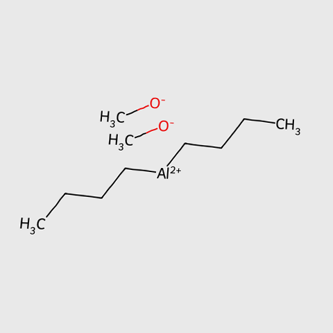 CCC[CH2][Al+2][CH2]CCC.C[O-].C[O-]